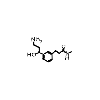 CNC(=O)CCc1cccc(C(O)CCN)c1